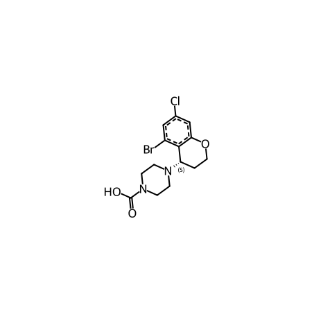 O=C(O)N1CCN([C@H]2CCOc3cc(Cl)cc(Br)c32)CC1